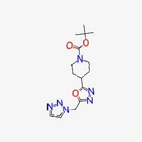 CC(C)(C)OC(=O)N1CCC(c2nnc(Cn3ccnn3)o2)CC1